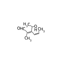 C/C=C\C(=C(/C)C=O)C(C)O